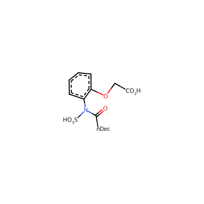 CCCCCCCCCCC(=O)N(c1ccccc1OCC(=O)O)S(=O)(=O)O